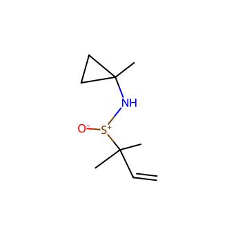 C=CC(C)(C)[S+]([O-])NC1(C)CC1